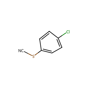 N#CSc1ccc(Cl)cc1